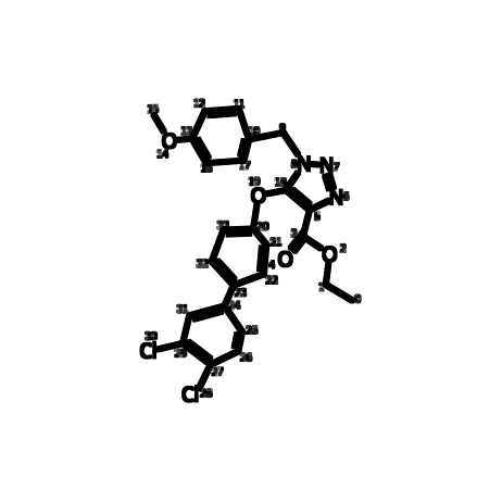 CCOC(=O)c1nnn(Cc2ccc(OC)cc2)c1Oc1ccc(-c2ccc(Cl)c(Cl)c2)cc1